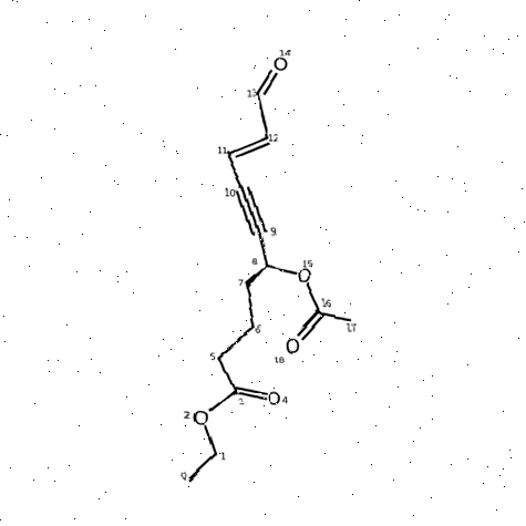 CCOC(=O)CCC[C@@H](C#C/C=C/C=O)OC(C)=O